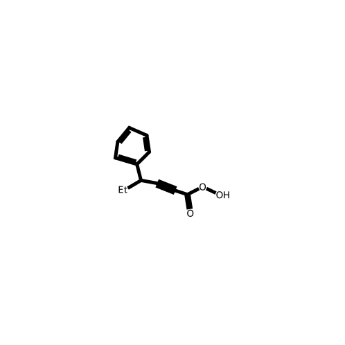 CCC(C#CC(=O)OO)c1ccccc1